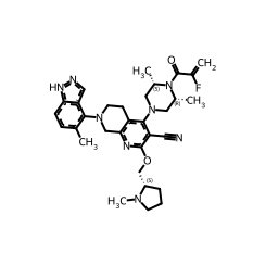 C=C(F)C(=O)N1[C@H](C)CN(c2c(C#N)c(OC[C@@H]3CCCN3C)nc3c2CCN(c2c(C)ccc4[nH]ncc24)C3)C[C@@H]1C